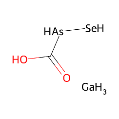 O=C(O)[AsH][SeH].[GaH3]